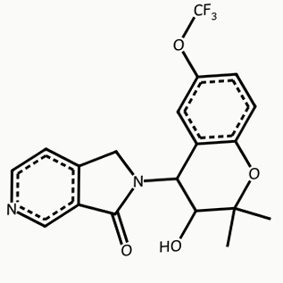 CC1(C)Oc2ccc(OC(F)(F)F)cc2C(N2Cc3ccncc3C2=O)C1O